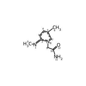 C/N=c1\ccc(C)cn1CC(N)=O